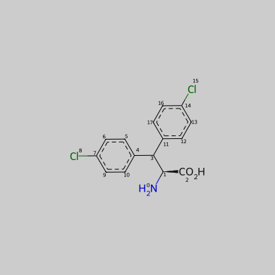 N[C@H](C(=O)O)C(c1ccc(Cl)cc1)c1ccc(Cl)cc1